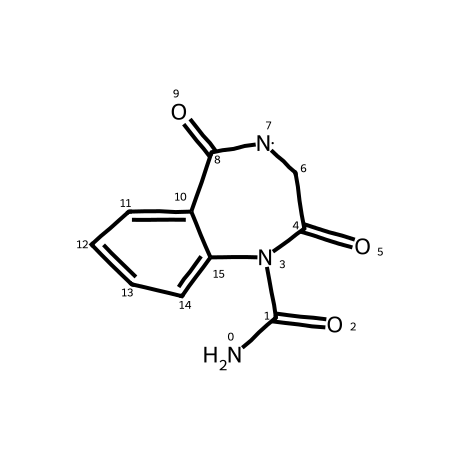 NC(=O)N1C(=O)C[N]C(=O)c2ccccc21